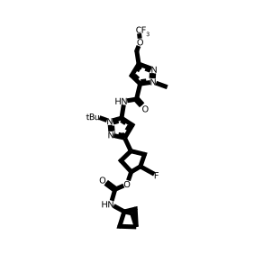 Cn1nc(COC(F)(F)F)cc1C(=O)Nc1cc(C2CC(F)C(OC(=O)NC34CC(C3)C4)C2)nn1C(C)(C)C